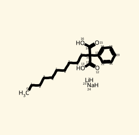 CCCCCCCCCCC(C(=O)O)(C(=O)O)c1ccccc1.[LiH].[NaH]